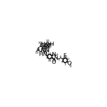 COc1ccc(CCn2cnc3cc(NC(=NC4C[C@@H]5C[C@H]([C@@H]4C)C5(C)C)N4CC(C)CC(C)C4)ccc3c2=O)c(F)c1